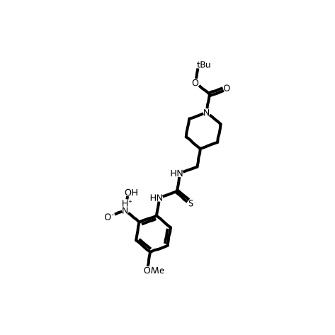 COc1ccc(NC(=S)NCC2CCN(C(=O)OC(C)(C)C)CC2)c([NH+]([O-])O)c1